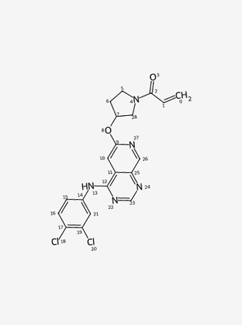 C=CC(=O)N1CCC(Oc2cc3c(Nc4ccc(Cl)c(Cl)c4)ncnc3cn2)C1